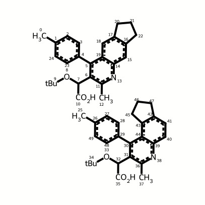 Cc1ccc(-c2c(C(OC(C)(C)C)C(=O)O)c(C)nc3cc4c(cc23)CCC4)cc1.Cc1ccc(-c2c(C(OC(C)(C)C)C(=O)O)c(C)nc3ccc4c(c23)CCC4)cc1